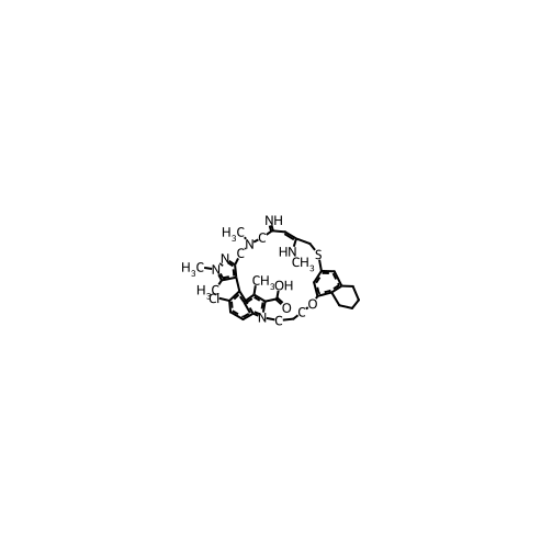 CN/C1=C\C(=N)CN(C)Cc2nn(C)c(C)c2-c2c(Cl)ccc3c2c(C)c(C(=O)O)n3CCCOc2cc(cc3c2CCCC3)SC1